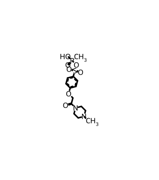 CN1CCN(C(=O)COc2ccc(S(=O)(=O)OP(C)(=O)O)cc2)CC1